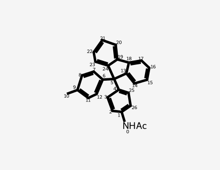 CC(=O)Nc1ccc(C2(c3ccc(C)cc3)c3ccccc3-c3ccccc32)cc1